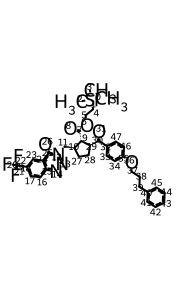 C[Si](C)(C)CCOC(=O)[C@H]1[C@H](Cn2nnc3ccc(C(F)(F)F)cc3c2=O)CC[C@@H]1C(=O)c1ccc(OCCCc2ccccc2)cc1